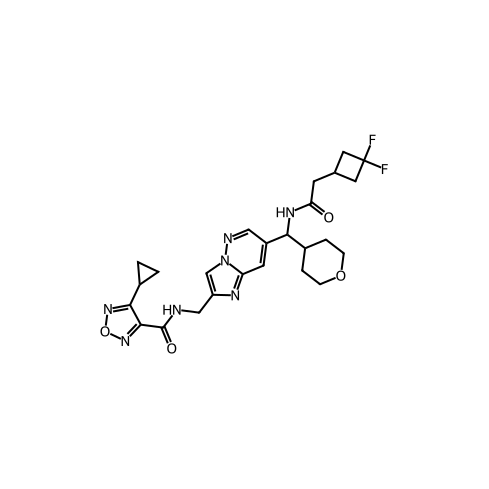 O=C(CC1CC(F)(F)C1)NC(c1cnn2cc(CNC(=O)c3nonc3C3CC3)nc2c1)C1CCOCC1